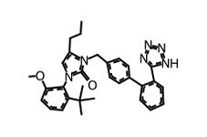 CCCc1cn(-c2c(OC)cccc2C(C)(C)C)c(=O)n1Cc1ccc(-c2ccccc2-c2nnn[nH]2)cc1